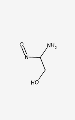 NC(CO)N=O